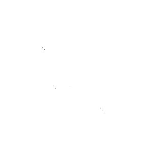 Cc1ccccc1NC(=O)Cn1c(=O)c(CNc2ccccc2)cc2cc3c(cc21)OCCO3